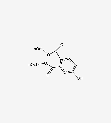 CCCCCCCCOC(=O)c1ccc(O)cc1C(=O)OCCCCCCCC